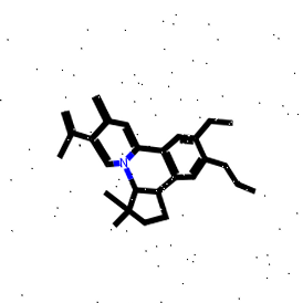 C=C(C)C1=CN2C(=CC1=C)c1cc(CC)c(CCC)cc1C1CCC(C)(C)C12